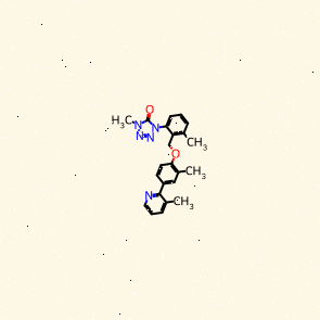 Cc1cc(-c2ncccc2C)ccc1OCc1c(C)cccc1-n1nnn(C)c1=O